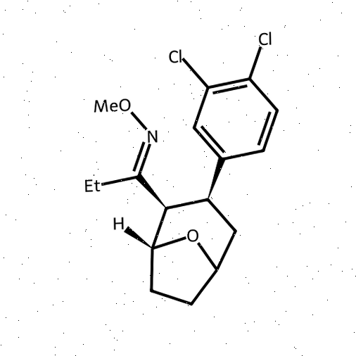 CCC(=NOC)[C@H]1[C@@H](c2ccc(Cl)c(Cl)c2)CC2CC[C@H]1O2